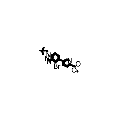 COC(=O)c1ccc(-c2ccc3c(nnn3CC(C)(C)C)c2Br)cn1